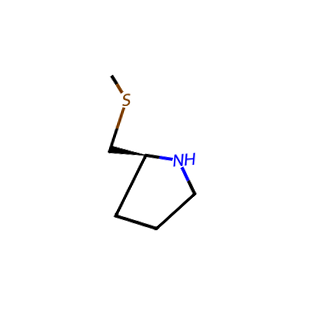 CSC[C@@H]1CCCN1